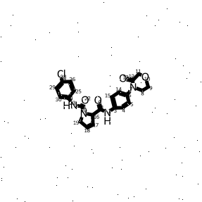 O=C(Nc1ccc(N2CCOCC2=O)cc1)C1C=CCN1C(=O)Nc1ccc(Cl)cc1